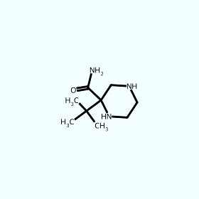 CC(C)(C)C1(C(N)=O)CNCCN1